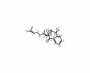 CC(C)=CCC/C(C)=C/CC12OC1(C)C(=O)c1ccccc1C2=O